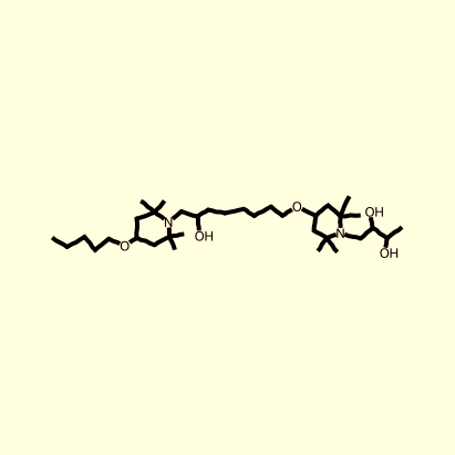 CCCCCOC1CC(C)(C)N(CC(O)CCCCCCOC2CC(C)(C)N(CC(O)C(C)O)C(C)(C)C2)C(C)(C)C1